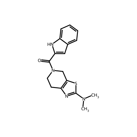 CN(C)c1nc2c(s1)CN(C(=O)c1cc3ccccc3[nH]1)CC2